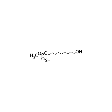 COP(OS)OCCCCCCCCCO